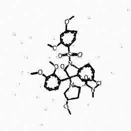 COc1ccc(S(=O)(=O)N2C(=O)C(c3cccc(OC)c3OC)(N3C[C@H](OC)C[C@H]3C(=O)N(C)C)c3cc(Cl)ccc32)c(OC)c1